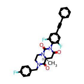 C[C@@]12CC(=O)N(c3c(F)cc(C#Cc4ccccc4)cc3F)C(=O)N1CCN(Cc1ccc(F)cc1)C2=O